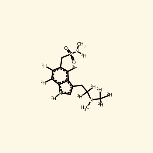 [2H]c1c(CS(=O)(=O)N([2H])C)c([2H])c2c(CC([2H])([2H])N(C)C([2H])([2H])[2H])cn([2H])c2c1[2H]